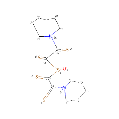 [O-][S+](C(=S)C(=S)N1CCCCC1)C(=S)C(=S)N1CCCCC1